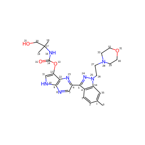 Cc1ccc2c(-c3cnc4[nH]cc(OC(=O)NC(C)(C)CO)c4n3)nn(CCN3CCOCC3)c2c1